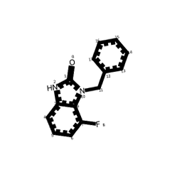 O=c1[nH]c2cccc(F)c2n1Cc1ccccc1